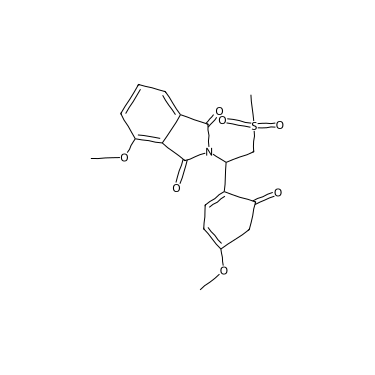 COC1=CC=C(C(CS(C)(=O)=O)N2C(=O)c3cccc(OC)c3C2=O)C(=O)C1